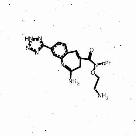 CCCN(OCCN)C(=O)C1=Cc2ccc(-c3nn[nH]n3)cc2N=C(N)C1